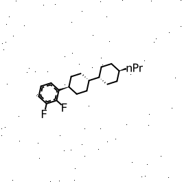 CCC[C@H]1CC[C@H]([C@H]2CC[C@H](c3cccc(F)c3F)CC2)CC1